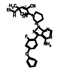 CCNC(C)(C)/C=C(/C#N)C(=O)N1CCC[C@H](n2nc(-c3ccc(Oc4ccccc4)cc3F)c3c(N)ncnc32)C1